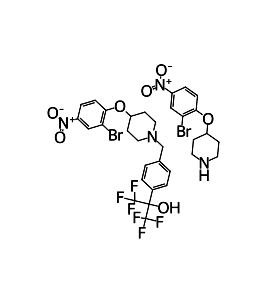 O=[N+]([O-])c1ccc(OC2CCN(Cc3ccc(C(O)(C(F)(F)F)C(F)(F)F)cc3)CC2)c(Br)c1.O=[N+]([O-])c1ccc(OC2CCNCC2)c(Br)c1